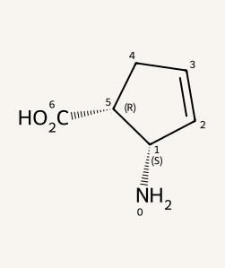 N[C@H]1C=CC[C@H]1C(=O)O